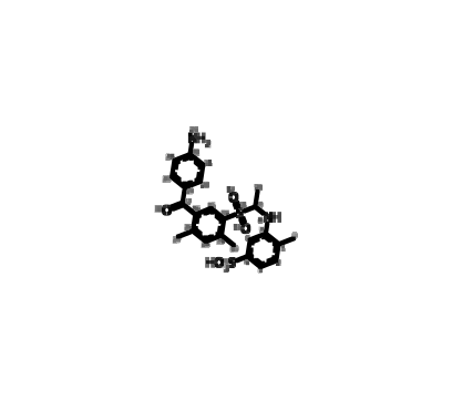 Cc1ccc(S(=O)(=O)O)cc1NC(C)S(=O)(=O)c1cc(C(=O)c2ccc(N)cc2)c(C)cc1C